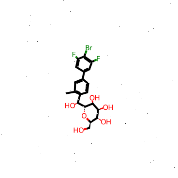 Cc1cc(-c2cc(F)c(Br)c(F)c2)ccc1[C@@H](O)[C@H]1O[C@H](CO)[C@@H](O)[C@H](O)[C@@H]1O